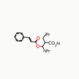 CCCC(OC(=O)/C=C/c1ccccc1)C(CC(C)C)C(=O)O